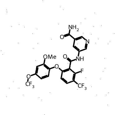 COc1cc(OC(F)(F)F)ccc1Oc1ccc(C(F)(F)F)c(F)c1C(=O)Nc1cncc(C(N)=O)c1